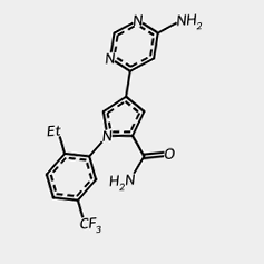 CCc1ccc(C(F)(F)F)cc1-n1cc(-c2cc(N)ncn2)cc1C(N)=O